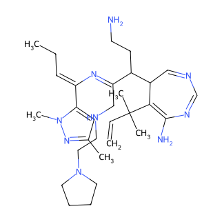 C=CC(C)(C)C1=C(N)N=CN=CC1C(CCN)/C(CNCCN1CCCC1)=N/C(=C\CC)c1cc(C)nn1C